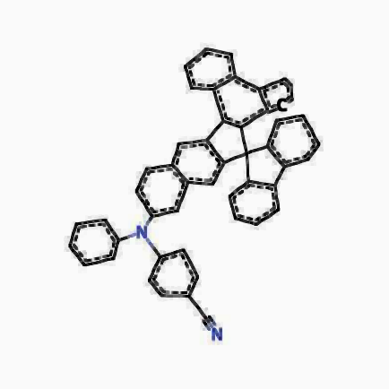 N#Cc1ccc(N(c2ccccc2)c2ccc3cc4c(cc3c2)C2(c3ccccc3-c3ccccc32)c2c-4c3ccccc3c3ccccc23)cc1